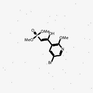 COc1ncc(Br)cc1C(O)=CP(=O)(OC)OC